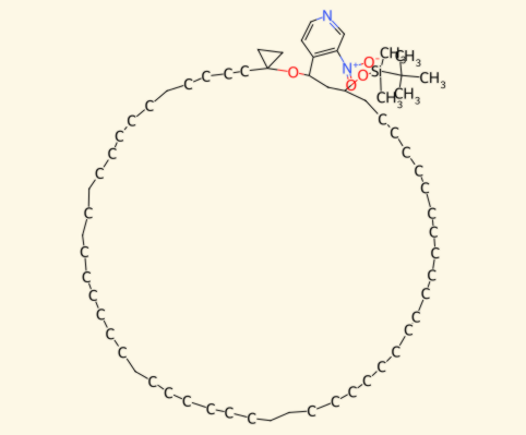 CC(C)(C)[Si](C)(C)OC1CCCCCCCCCCCCCCCCCCCCCCCCCCCCCCCCCCCCCCCCCCCCCCCC2(CC2)OC(c2ccncc2[N+](=O)[O-])C1